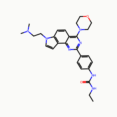 CCNC(=O)Nc1ccc(-c2nc(N3CCOCC3)c3ccc4c(ccn4CCN(C)C)c3n2)cc1